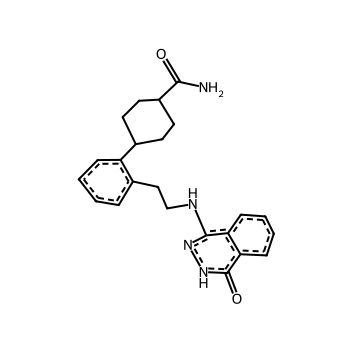 NC(=O)C1CCC(c2ccccc2CCNc2n[nH]c(=O)c3ccccc23)CC1